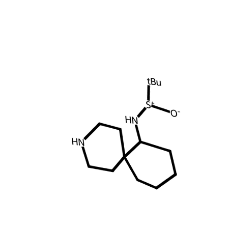 CC(C)(C)[S+]([O-])NC1CCCCC12CCNCC2